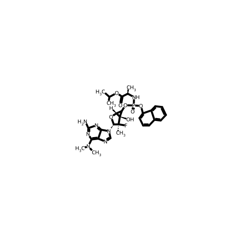 CC(C)OC(=O)[C@@H](C)NP(=O)(Oc1cccc2ccccc12)OC1[C@H]2O[C@@H](n3cnc4c(N(C)C)nc(N)nc43)[C@](C)(F)[C@@]12O